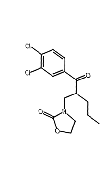 CCCC(CN1CCOC1=O)C(=O)c1ccc(Cl)c(Cl)c1